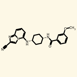 COc1cccc(C(=O)N[C@H]2CC[C@@H](Nc3cccc4nc(C#N)cn34)CC2)c1